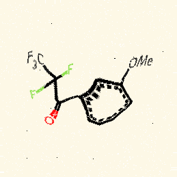 COc1cccc(C(=O)C(F)(F)C(F)(F)F)c1